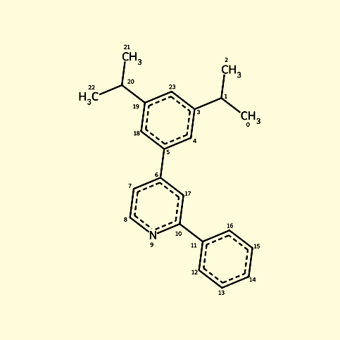 CC(C)c1cc(-c2ccnc(-c3ccccc3)c2)cc(C(C)C)c1